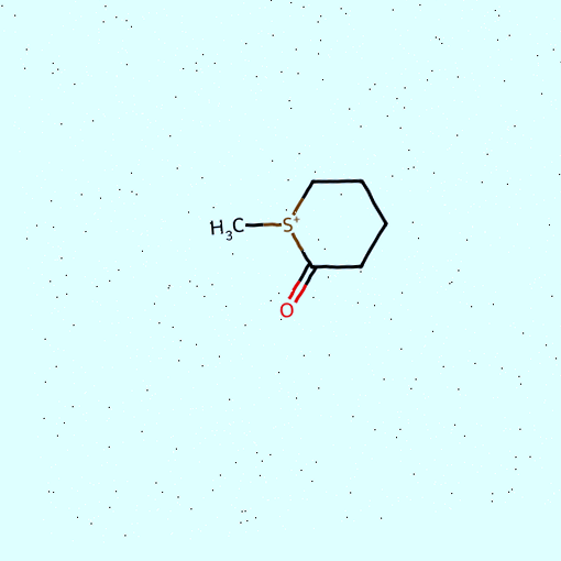 C[S+]1CCCCC1=O